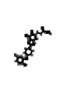 NC(=O)CCc1nc2nc(N3CCC(Oc4cc(F)ccc4Br)CC3)sc2c(=O)[nH]1